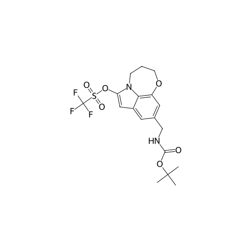 CC(C)(C)OC(=O)NCc1cc2c3c(c1)cc(OS(=O)(=O)C(F)(F)F)n3CCCO2